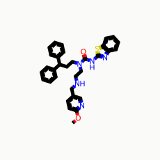 COc1ccc(CNCCN(CCC(c2ccccc2)c2ccccc2)C(=O)Nc2nc3ccccc3s2)cn1